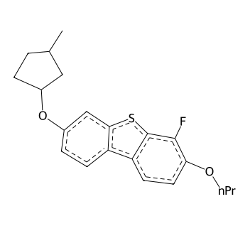 CCCOc1ccc2c(sc3cc(OC4CCC(C)C4)ccc32)c1F